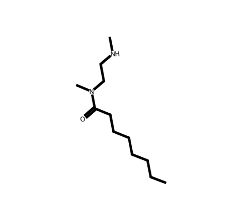 CCCCCCCC(=O)N(C)CCNC